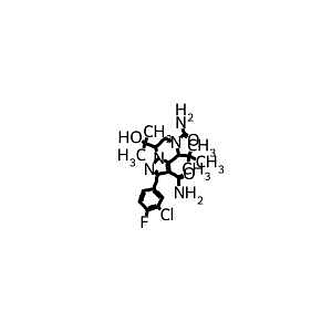 CC(C)(C)C1c2c(C(N)=O)c(-c3ccc(F)c(Cl)c3)nn2C(C(C)(C)O)CN1C(N)=O